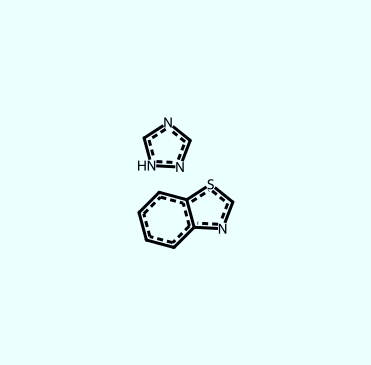 c1ccc2scnc2c1.c1nc[nH]n1